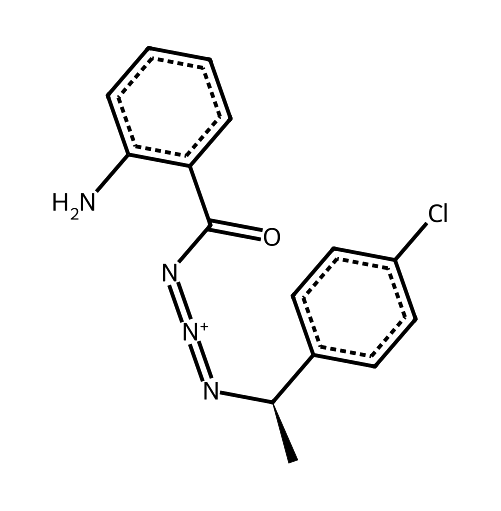 C[C@@H](N=[N+]=NC(=O)c1ccccc1N)c1ccc(Cl)cc1